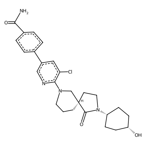 NC(=O)c1ccc(-c2cnc(N3CCC[C@@]4(CCN([C@H]5CC[C@@H](O)CC5)C4=O)C3)c(Cl)c2)cc1